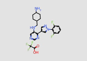 NC1CCC(CNc2cncnc2-c2cnn(-c3c(F)cccc3F)c2)CC1.O=C(O)C(F)(F)F